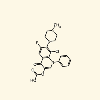 CN1CCN(c2c(F)cc3c(=O)c(OC(=O)O)cn(-c4ccccc4)c3c2Cl)CC1